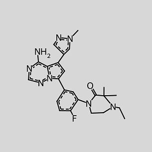 CCN1CCN(c2cc(-c3cc(-c4cnn(C)c4)c4c(N)ncnn34)ccc2F)C(=O)C1(C)C